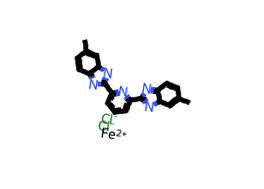 CC1=CC2N=C(c3cccc(C4=NC5C=C(C)C=CC5=N4)n3)N=C2C=C1.[Cl-].[Cl-].[Fe+2]